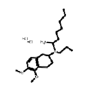 CCCCCCC(N)N(CCC)C1CCc2c(ccc(OC)c2OC)C1.Cl.Cl